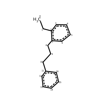 CCc1ccccc1CCCc1ccccc1